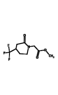 COC(=O)CN1CCC(C(F)(F)F)CC1=O